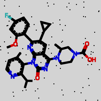 COc1cc(F)ccc1-c1nc2c(cc1C1CC1)c(N1CCN(C(=O)O)CC1C)nc(=O)n2-c1c(C)ccnc1C(C)C